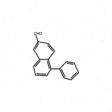 O=Cc1ccc2c(-c3ccccc3)cccc2c1